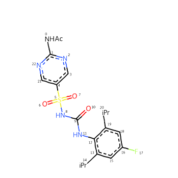 CC(=O)Nc1ncc(S(=O)(=O)NC(=O)Nc2c(C(C)C)cc(F)cc2C(C)C)cn1